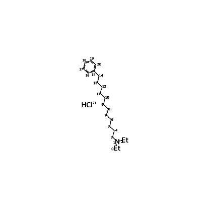 CCN(CC)CCCCCCCCCCCCc1ccccc1.Cl